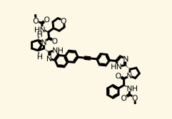 COC(=O)N[C@H](C(=O)N1[C@@H]2CC[C@@H](C2)[C@H]1c1nc2ccc3cc(C#Cc4ccc(-c5cnc([C@@H]6CCCN6C(=O)[C@H](NC(=O)OC)c6ccccc6)[nH]5)cc4)ccc3c2[nH]1)C1CCOCC1